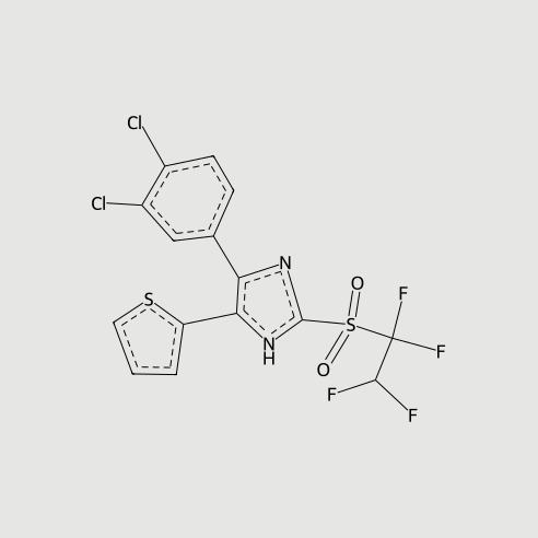 O=S(=O)(c1nc(-c2ccc(Cl)c(Cl)c2)c(-c2cccs2)[nH]1)C(F)(F)C(F)F